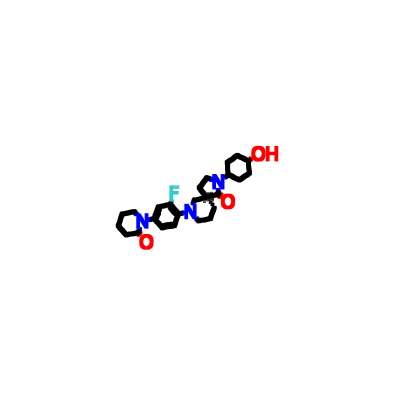 O=C1CCCCN1c1ccc(N2CCC[C@@]3(CCN(C4CCC(O)CC4)C3=O)C2)c(F)c1